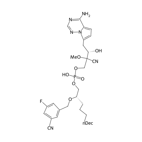 CCCCCCCCCCCCC[C@@H](COP(=O)(O)OCC(C#N)(OC)[C@@H](O)Cc1ccc2c(N)ncnn12)OCc1cc(F)cc(C#N)c1